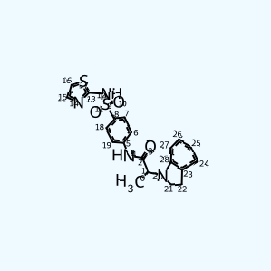 CC(C(=O)Nc1ccc(S(=O)(=O)Nc2nccs2)cc1)N1CCc2ccccc21